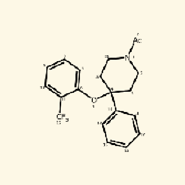 CC(=O)N1CCC(Oc2ccccc2C(F)(F)F)(c2ccccc2)CC1